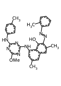 COc1nc(Nc2ccc(C)cc2)nc(Nc2cc(C)cc3cc(C)c(N=Nc4ccccc4C)c(O)c23)n1